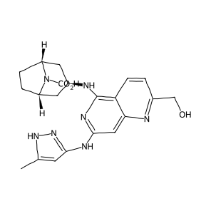 Cc1cc(Nc2cc3nc(CO)ccc3c(N[C@@H]3C[C@H]4CC[C@@H](C3)N4C(=O)O)n2)n[nH]1